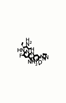 CC[C@H](N)[C@@H](CC)Nc1nc(Nc2cnc(OC)c(-n3ccnn3)c2)c(C(N)=O)cc1F